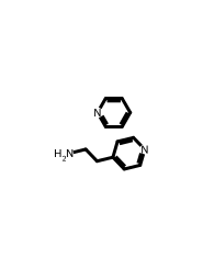 NCCc1ccncc1.c1ccncc1